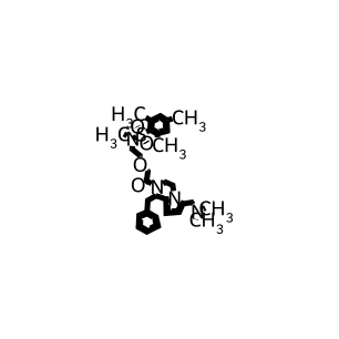 Cc1cc(C)c(S(=O)(=O)N(C)CCOCC(=O)N2CCn3c(CN(C)C)ccc3C2Cc2ccccc2)c(C)c1